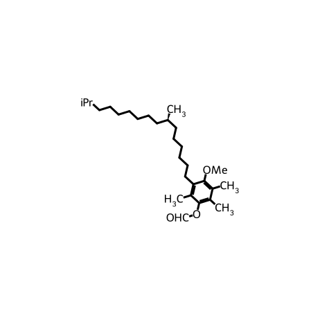 COc1c(C)c(C)c(OC=O)c(C)c1CCCCCC[C@H](C)CCCCCCCC(C)C